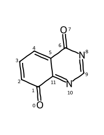 O=C1C=CC=C2C(=O)N=CN=C12